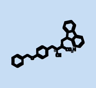 N#C[C@H](Cc1ccc(OCc2ccccc2)cc1)N(CC1c2ccccc2-c2ccccc21)C(=O)O